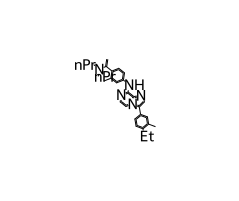 C=C(c1ccc(Nc2nccn3c(-c4ccc(CC)c(C)c4)cnc23)cc1C)N(CCC)CCC